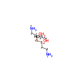 NCCSSCCN.O.O=S(=O)(O)O